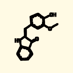 COc1cc(C=C2Nc3ccccc3C2=O)ccc1O